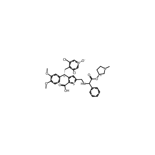 COc1ccc([C@H](Cc2c(Cl)c[n+]([O-])cc2Cl)c2cc(CNC(C(=O)O[C@H]3CCN(C)C3)c3ccccc3)sc2C(=O)O)cc1OC